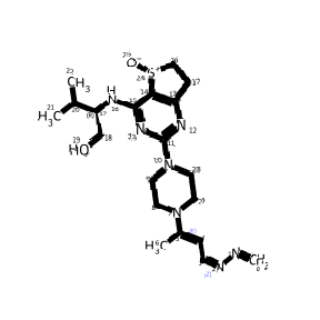 C=N/N=C\C=C(/C)N1CCN(c2nc3c(c(N[C@@H](CO)C(C)C)n2)[S+]([O-])CC3)CC1